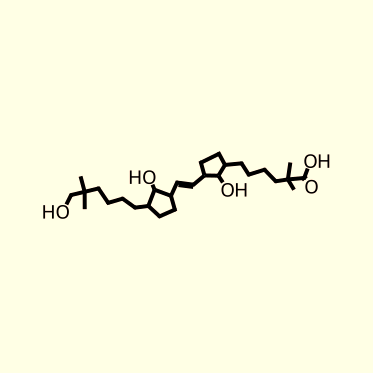 CC(C)(CO)CCCCC1CCC(C=CC2CCC(CCCCC(C)(C)C(=O)O)C2O)C1O